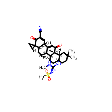 CN/C(=N\S(C)(=O)=O)N[C@]12CCC(C)(C)C[C@H]1[C@H]1C(=O)C=C3[C@@]4(C)C=C(C#N)C(=O)C5(CC5)[C@@H]4CC[C@@]3(C)[C@]1(C)CC2